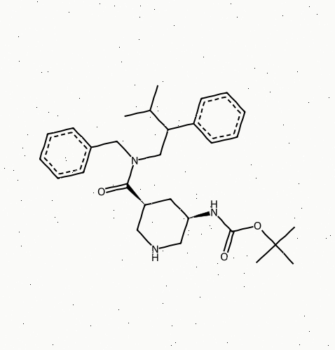 CC(C)C(CN(Cc1ccccc1)C(=O)[C@@H]1CNC[C@H](NC(=O)OC(C)(C)C)C1)c1ccccc1